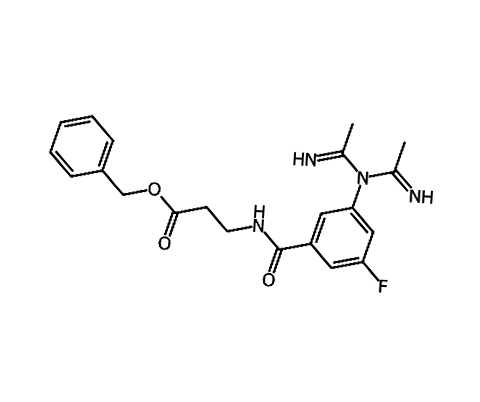 CC(=N)N(C(C)=N)c1cc(F)cc(C(=O)NCCC(=O)OCc2ccccc2)c1